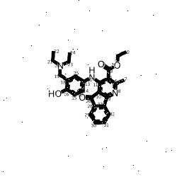 CCOC(=O)c1c(C)nc2c(c1Nc1ccc(O)c(CN(CC)CC)c1)C(=O)c1ccccc1-2